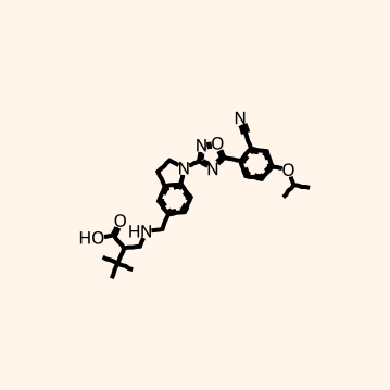 CC(C)Oc1ccc(-c2nc(N3CCc4cc(CNCC(C(=O)O)C(C)(C)C)ccc43)no2)c(C#N)c1